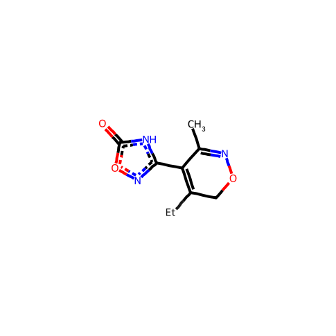 CCC1=C(c2noc(=O)[nH]2)C(C)=NOC1